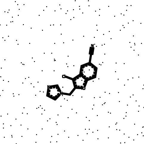 N#Cc1ccc2oc(Cn3ccnc3)c(Cl)c2c1